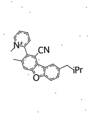 Cc1cc2oc3ccc(CC(C)C)cc3c2c(C#N)c1-c1cccc[n+]1C